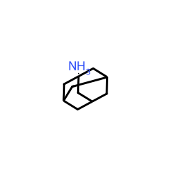 C1[C]2CC3CC1CC(C2)C3.N